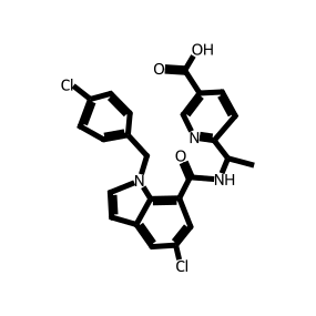 CC(NC(=O)c1cc(Cl)cc2ccn(Cc3ccc(Cl)cc3)c12)c1ccc(C(=O)O)cn1